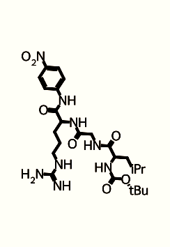 CC(C)CC(NC(=O)OC(C)(C)C)C(=O)NCC(=O)NC(CCCNC(=N)N)C(=O)Nc1ccc([N+](=O)[O-])cc1